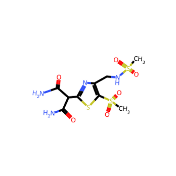 CS(=O)(=O)NCc1nc(C(C(N)=O)C(N)=O)sc1S(C)(=O)=O